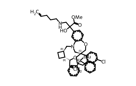 C=CCCCNCC(O)(C(=O)OC)c1ccc2c(c1)N(C[C@@H]1CC[C@H]1C(C=C)O[Si](c1ccccc1)(c1ccccc1)C(C)(C)C)C[C@@]1(CCCc3cc(Cl)ccc31)CO2